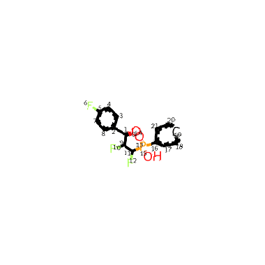 O=C(c1ccc(F)cc1)C(F)C(F)P(=O)(O)c1ccccc1